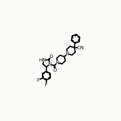 N#CC1(c2ccccc2)CCN(C2CCN(C(=O)N3C(=O)NCC3c3ccc(F)c(F)c3)CC2)CC1